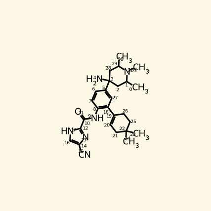 CC1CC(N)(c2ccc(NC(=O)c3nc(C#N)c[nH]3)c(C3=CCC(C)(C)CC3)c2)CC(C)N1C